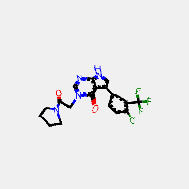 O=C(Cn1cnc2[nH]cc(-c3ccc(Cl)c(C(F)(F)F)c3)c2c1=O)N1CCCC1